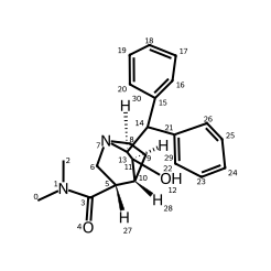 CN(C)C(=O)[C@@H]1CN2CC[C@H]1[C@H](O)[C@@H]2C(c1ccccc1)c1ccccc1